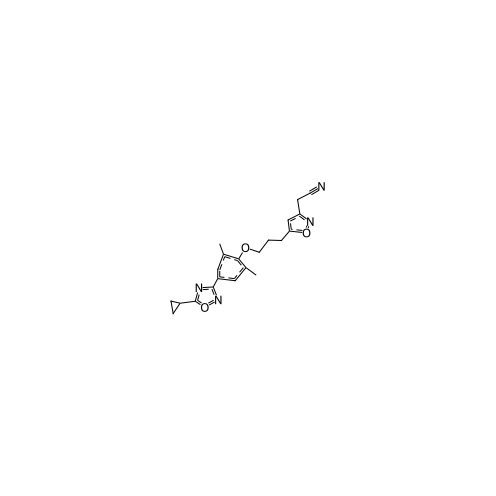 Cc1cc(-c2noc(C3CC3)n2)cc(C)c1OCCCc1cc(CC#N)no1